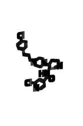 O=C(Nc1cnccc1N1CCN(CC=Cc2ccc(Cl)cc2)CC1)c1ccnc(Cl)c1